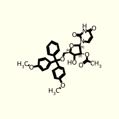 COc1ccc(C(OC[C@H]2O[C@@H](n3ccc(=O)[nH]c3=O)[C@H](OC(C)=O)C2O)(c2ccccc2)c2ccc(OC)cc2)cc1